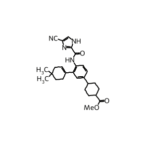 COC(=O)C1CCC(c2ccc(NC(=O)c3nc(C#N)c[nH]3)c(C3=CCC(C)(C)CC3)c2)CC1